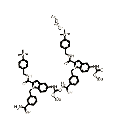 CC(=O)[O-].CC(=O)[O-].CC(C)(C)OC(=O)Nc1ccc2c(c1)cc(C(=O)NCc1ccc([N+](C)(C)C)cc1)n2Cc1cccc(C(=N)N)c1.CC(C)(C)OC(=O)Nc1ccc2c(c1)cc(C(=O)NCc1ccc([N+](C)(C)C)cc1)n2Cc1cccc(C(=N)N)c1